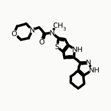 CN(C(=O)CN1CCOCC1)c1cc2[nH]c(-c3n[nH]c4c3CCCC4)cc2s1